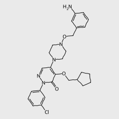 Nc1cccc(CON2CCN(c3cnn(-c4cccc(Cl)c4)c(=O)c3OCC3CCCC3)CC2)c1